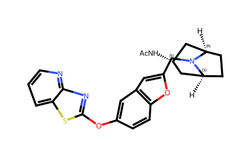 CC(=O)N[C@@H]1C[C@H]2CC[C@@H](C1)N2Cc1cc2cc(Oc3nc4ncccc4s3)ccc2o1